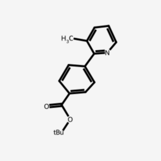 Cc1cccnc1-c1ccc(C(=O)OC(C)(C)C)cc1